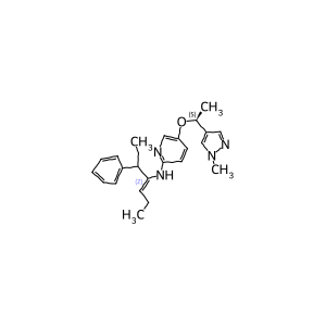 CC/C=C(\Nc1ccc(O[C@@H](C)c2cnn(C)c2)cn1)C(CC)c1ccccc1